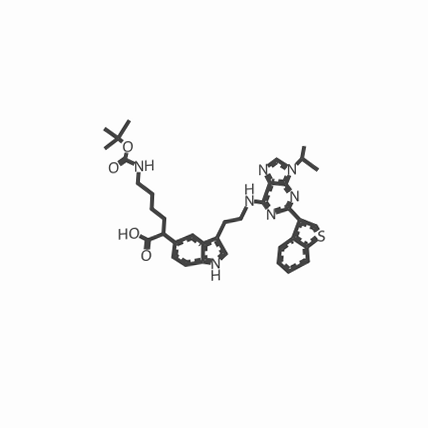 CC(C)n1cnc2c(NCCc3c[nH]c4ccc(C(CCCCNC(=O)OC(C)(C)C)C(=O)O)cc34)nc(-c3csc4ccccc34)nc21